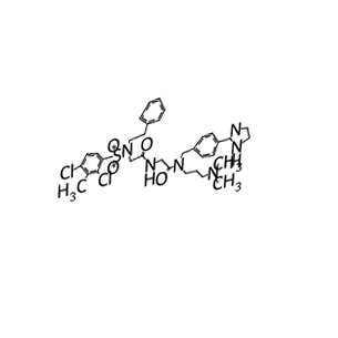 Cc1c(Cl)ccc(S(=O)(=O)N(CCc2ccccc2)CC(=O)NCC(=O)N(CCCN(C)C)Cc2ccc(C3=NCCN3)cc2)c1Cl